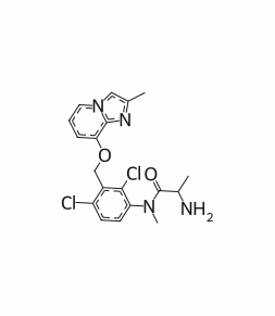 Cc1cn2cccc(OCc3c(Cl)ccc(N(C)C(=O)C(C)N)c3Cl)c2n1